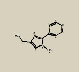 CCc1cn(C)c(-c2ccccc2)n1